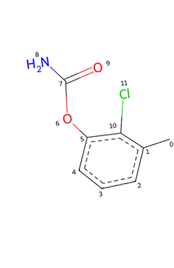 Cc1cccc(OC(N)=O)c1Cl